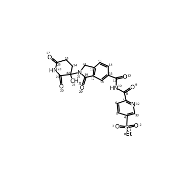 CCS(=O)(=O)c1ccc(C(=O)NC(=O)c2ccc3c(c2)C(=O)N(C2(C)CCC(=O)NC2=O)C3)nc1